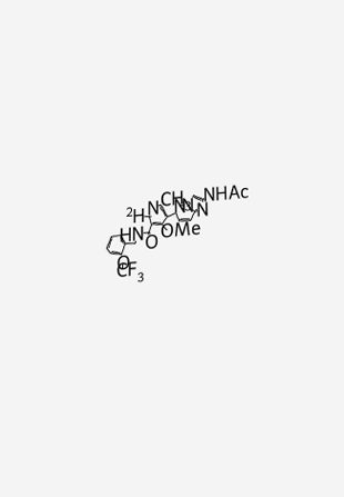 [2H]c1nc(C)c(-c2ccc3nc(NC(C)=O)cn3n2)c(OC)c1C(=O)NCc1ccccc1OC(F)(F)F